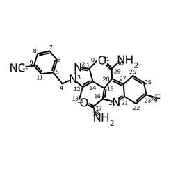 Cc1nn(Cc2cccc(C#N)c2)c(C)c1-c1c(C(N)=O)nc2cc(F)ccc2c1C(N)=O